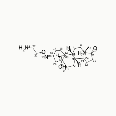 CC1C[C@@H]2[C@@H](CC[C@]3(C)C(=O)CC[C@@H]23)[C@@]2(C)CCC(=NOCCN)CC12O